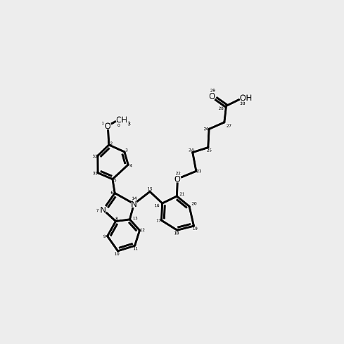 COc1ccc(-c2nc3ccccc3n2Cc2ccccc2OCCCCCC(=O)O)cc1